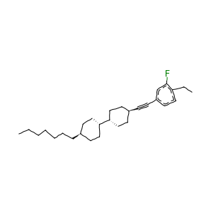 CCCCCCC[C@H]1CC[C@H]([C@H]2CC[C@H](C#Cc3ccc(CC)c(F)c3)CC2)CC1